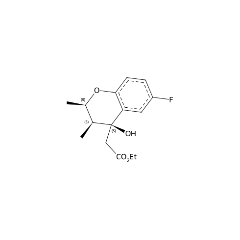 CCOC(=O)C[C@@]1(O)c2cc(F)ccc2O[C@H](C)[C@@H]1C